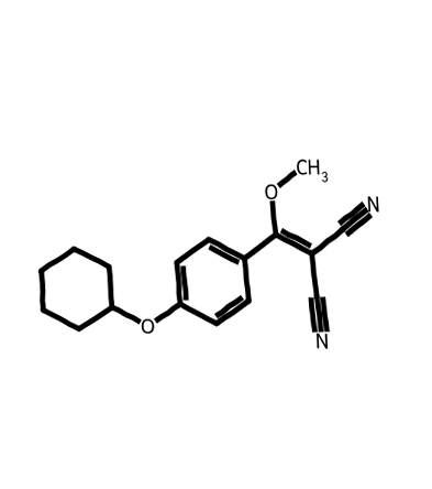 COC(=C(C#N)C#N)c1ccc(OC2CCCCC2)cc1